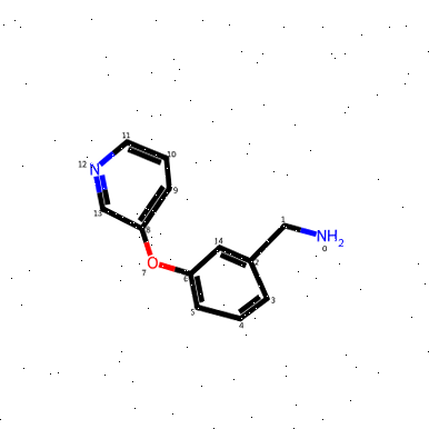 NCc1cccc(Oc2cccnc2)c1